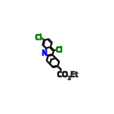 CCOC(=O)CC1=CC2Cc3nc4cc(Cl)ccc4c(Cl)c3C(C1)C2